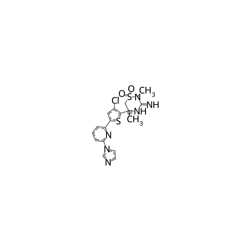 CN1C(=N)N[C@](C)(c2sc(-c3cccc(-n4ccnc4)n3)cc2Cl)CS1(=O)=O